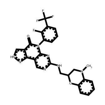 CN1CC(CNc2ncc3c4n[nH]cc4c(=O)n(-c4cccc(C(F)(F)F)c4F)c3n2)Oc2ccccc21